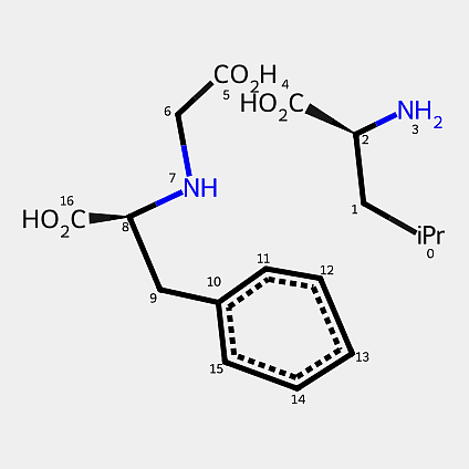 CC(C)C[C@H](N)C(=O)O.O=C(O)CN[C@@H](Cc1ccccc1)C(=O)O